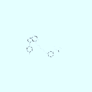 NC(=O)N(N)c1cccc(OCCCOc2ncnc3scc(-c4ccc(F)cc4)c23)c1